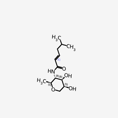 CC(C)C/C=C/C(=O)N[C@@H]1[C@@H](O)[C@@H](O)CO[C@H]1C